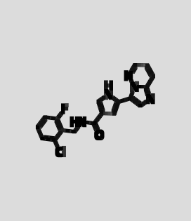 O=C(NCc1c(F)cccc1Cl)c1c[nH]c(-c2cnc3cccnn23)c1